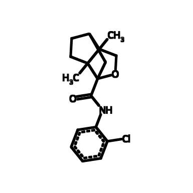 CC12COC3(C(=O)Nc4ccccc4Cl)CC1CCC32C